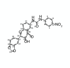 O=C(Nc1ccc([N+](=O)[O-])cc1)Nc1ccc2oc(-c3ccc4c(c3)OCO4)c(O)c(=O)c2c1